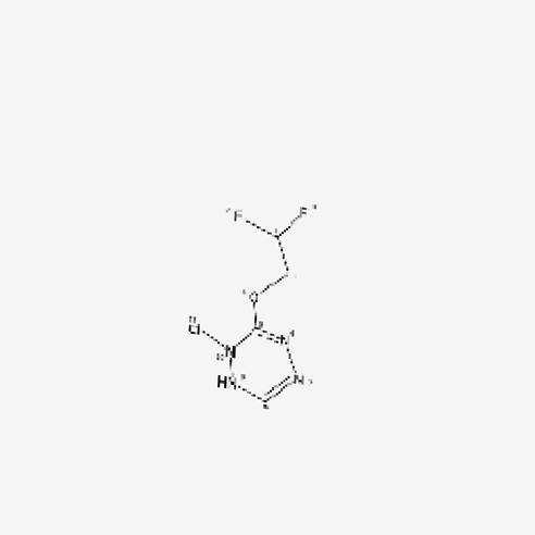 FC(F)COC1=NN=CNN1Cl